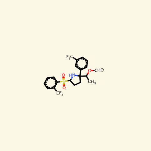 CC(OC=O)C1(c2cccc(C(F)(F)F)c2)CCC(S(=O)(=O)c2ccccc2C(F)(F)F)N1